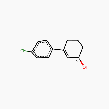 O[C@H]1C=C(c2ccc(Cl)cc2)CCC1